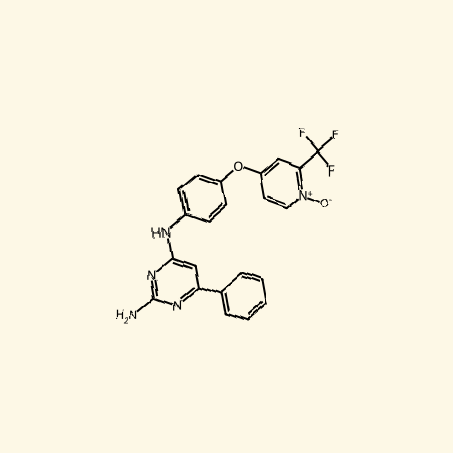 Nc1nc(Nc2ccc(Oc3cc[n+]([O-])c(C(F)(F)F)c3)cc2)cc(-c2ccccc2)n1